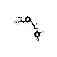 CC(C)O[C@@H](Cc1cccc(OC[C@H](F)COc2ccc(Cl)cc2C#N)c1)C(=O)O